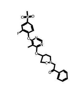 Cc1c(Oc2ccc(S(C)(=O)=O)cc2F)ncnc1OC1CCN(CC(=O)c2ccccc2)CC1